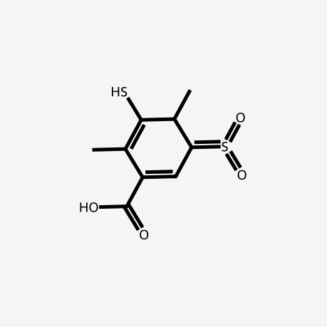 CC1=C(S)C(C)C(=S(=O)=O)C=C1C(=O)O